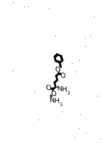 NCOC(=O)[C@@H](N)CCCC(=O)OCc1ccccc1